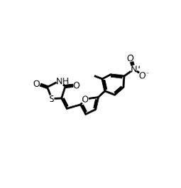 Cc1cc([N+](=O)[O-])ccc1-c1ccc(C=C2SC(=O)NC2=O)o1